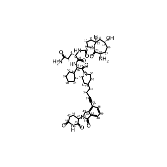 NC(=O)CC[C@H](NC(=O)[C@@H]1CC[C@@H]2C[C@H](O)CC[C@H](N)C(=O)N21)C(=O)N[C@H](C(=O)N1CCC(CCC#Cc2cccc3c2CN(C2CCC(=O)NC2=O)C3=O)CC1)C1CCCCC1